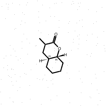 CC1C[C@@H]2CCCC[C@H]2OC1=O